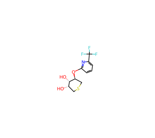 O[C@@H]1[C@@H](Oc2cccc(C(F)(F)F)n2)CSC[C@@H]1O